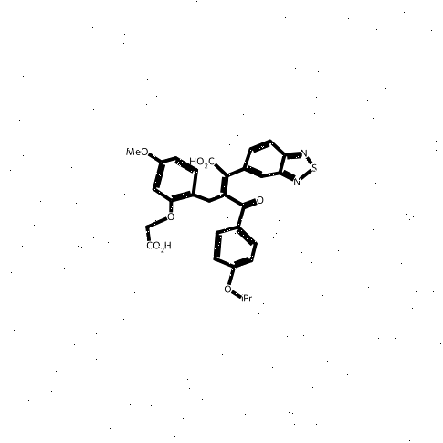 COc1ccc(CC(C(=O)c2ccc(OC(C)C)cc2)=C(C(=O)O)c2ccc3nsnc3c2)c(OCC(=O)O)c1